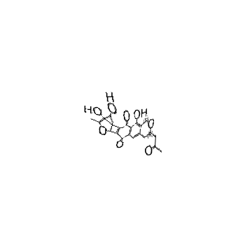 CC(=O)C[C@H]1Cc2cc3c(c(O)c2[C@H](C)O1)C(=O)C1=C(C3=O)C2OC(C)C3(O)C(O)C123